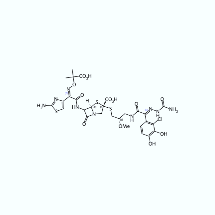 CO[C@@H](CNC(=O)/C(=N/NC(N)=O)c1ccc(O)c(O)c1Cl)CS[C@]1(C(=O)O)CN2C(=O)C(NC(=O)/C(=N\OC(C)(C)C(=O)O)c3csc(N)n3)[C@H]2S1